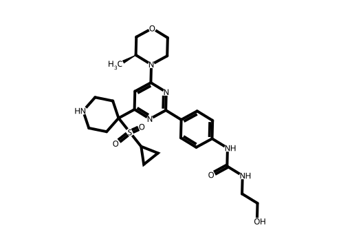 C[C@H]1COCCN1c1cc(C2(S(=O)(=O)C3CC3)CCNCC2)nc(-c2ccc(NC(=O)NCCO)cc2)n1